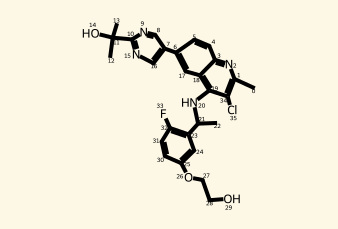 Cc1nc2ccc(-c3cnc(C(C)(C)O)nc3)cc2c(NC(C)c2cc(OCCO)ccc2F)c1Cl